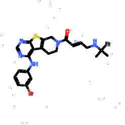 CCC(C)(C)NC/C=C/C(=O)N1CCc2c(sc3ncnc(Nc4cccc(Br)c4)c23)C1